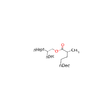 CCCCCCCCCCCCC(C)C(=O)OCC(CCCCCCC)CCCCCCCCCC